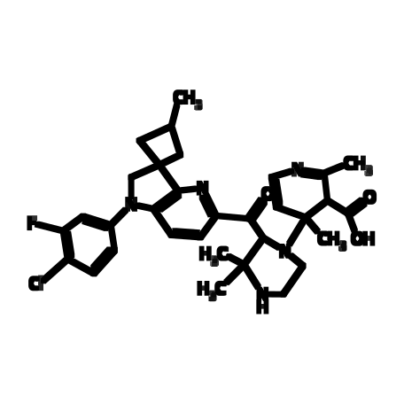 CC1=NC=CC(C)(N2CCNC(C)(C)C2C(=O)c2ccc3c(n2)C2(CC(C)C2)CN3c2ccc(Cl)c(F)c2)C1C(=O)O